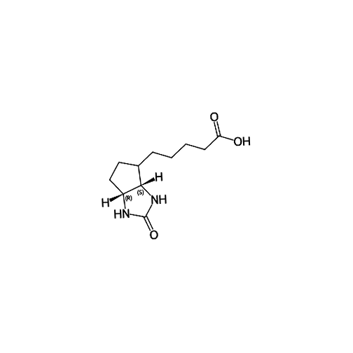 O=C(O)CCCCC1CC[C@H]2NC(=O)N[C@@H]12